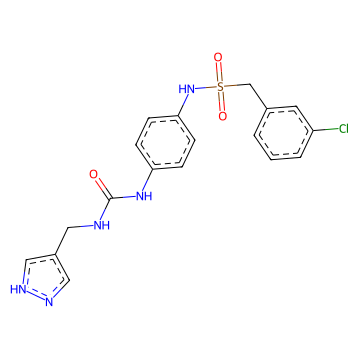 O=C(NCc1cn[nH]c1)Nc1ccc(NS(=O)(=O)Cc2cccc(Cl)c2)cc1